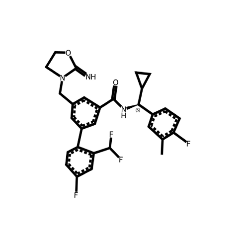 Cc1cc([C@@H](NC(=O)c2cc(CN3CCOC3=N)cc(-c3ccc(F)cc3C(F)F)c2)C2CC2)ccc1F